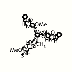 COCCOCCOCCN(CC(C)(C)SSCCCC(=O)NC=S)c1cc(COc2cc3c(cc2OC)C(=O)N2c4ccccc4C[C@H]2C=N3)cc(COc2cc3c(cc2OC)C(=O)N2c4ccccc4C[C@H]2CN3)c1